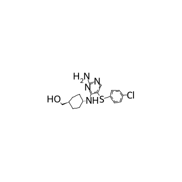 Nc1ncc(Sc2ccc(Cl)cc2)c(N[C@H]2CC[C@H](CO)CC2)n1